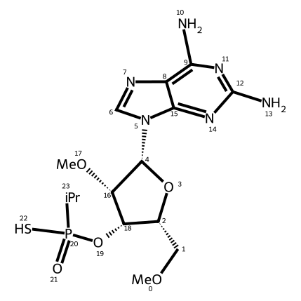 COC[C@H]1O[C@@H](n2cnc3c(N)nc(N)nc32)[C@@H](OC)[C@H]1OP(=O)(S)C(C)C